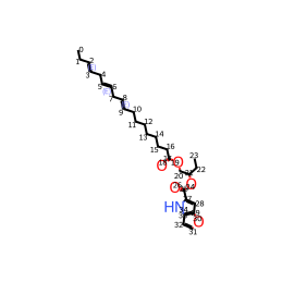 CC/C=C/C/C=C/C/C=C/CCCCCCCC(=O)OCC(CC)OC(=O)c1cc2occc2[nH]1